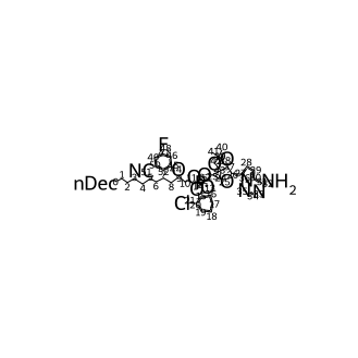 CCCCCCCCCCCCCCCCCCC(COP(=O)(Oc1ccccc1Cl)OC1C2OC(c3ccc4c(N)ncnn34)C3OC(C)(C)OC321)Oc1cc(F)cc(C#N)c1